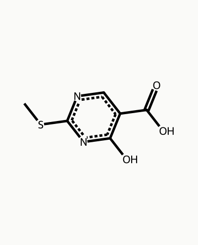 CSc1ncc(C(=O)O)c(O)n1